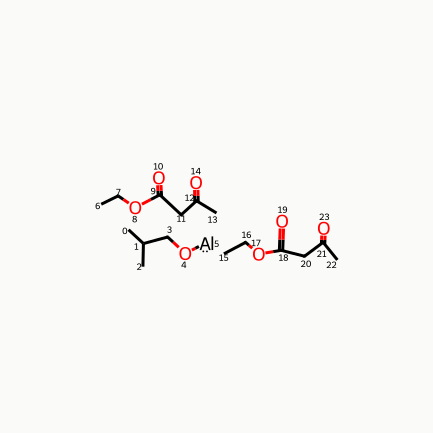 CC(C)C[O][Al].CCOC(=O)CC(C)=O.CCOC(=O)CC(C)=O